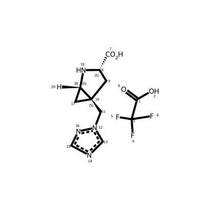 O=C(O)C(F)(F)F.O=C(O)[C@@H]1C[C@]2(Cn3cncn3)C[C@@H]2N1